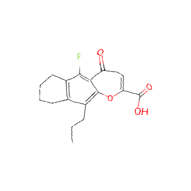 CCCc1c2c(c(F)c3c(=O)cc(C(=O)O)oc13)CCCC2